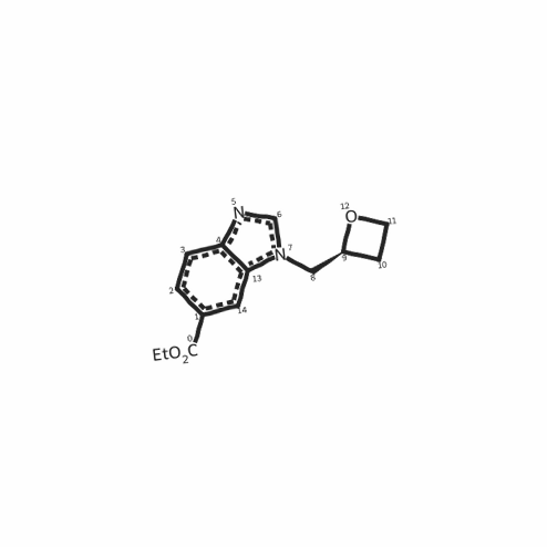 CCOC(=O)c1ccc2ncn(C[C@@H]3CCO3)c2c1